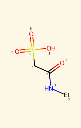 [CH2]CNC(=O)CS(=O)(=O)O